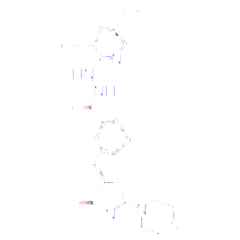 O=C1N=C(N2CCSCC2)SC1=Cc1cccc(C(=O)NNc2ncc(C(F)(F)F)cc2Cl)c1